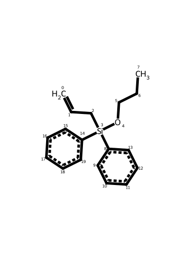 C=CC[Si](OCCC)(c1ccccc1)c1ccccc1